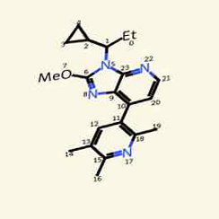 CCC(C1CC1)n1c(OC)nc2c(-c3cc(C)c(C)nc3C)ccnc21